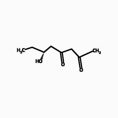 CC[C@@H](O)CC(=O)CC(C)=O